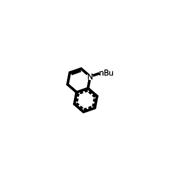 [CH2]CCCN1C=CCc2ccccc21